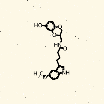 COc1ccc2[nH]cc(CCCC(=O)NCC3COc4ccc(O)cc4O3)c2c1